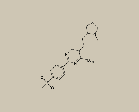 CN1CCCC1CCN1CN=C(c2ccc(S(C)(=O)=O)cc2)N=C1C(Cl)(Cl)Cl